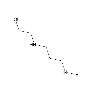 CCNCCCNCCO